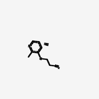 Cc1ncccc1OCCN.Cl